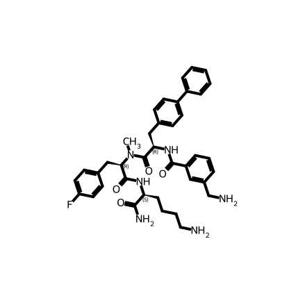 CN(C(=O)[C@@H](Cc1ccc(-c2ccccc2)cc1)NC(=O)c1cccc(CN)c1)[C@H](Cc1ccc(F)cc1)C(=O)N[C@@H](CCCCN)C(N)=O